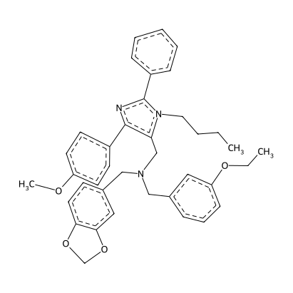 CCCCn1c(-c2ccccc2)nc(-c2ccc(OC)cc2)c1CN(Cc1cccc(OCC)c1)Cc1ccc2c(c1)OCO2